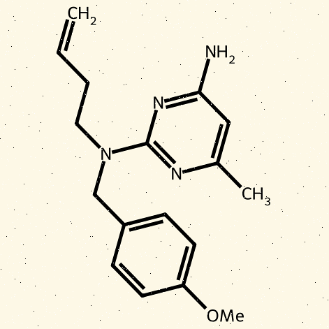 C=CCCN(Cc1ccc(OC)cc1)c1nc(C)cc(N)n1